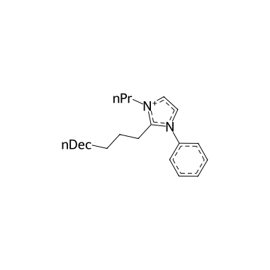 CCCCCCCCCCCCCc1n(-c2ccccc2)cc[n+]1CCC